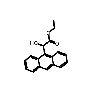 CCOC(=O)C(O)c1c2ccccc2cc2ccccc12